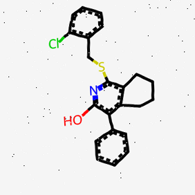 Oc1nc(SCc2ccccc2Cl)c2c(c1-c1ccccc1)CCCC2